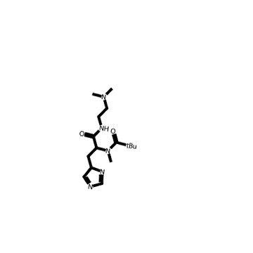 CN(C)CCNC(=O)C(CC1C=NC=N1)N(C)C(=O)C(C)(C)C